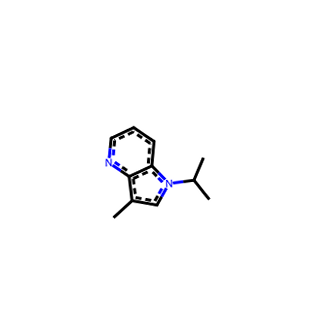 Cc1cn(C(C)C)c2cccnc12